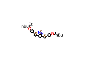 CCCCC(C)COc1ccc(-c2ccc(-c3ccc(-c4ccc(-c5ccc(OCC(CC)CCCC)cc5)s4)c4nsnc34)s2)cc1